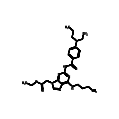 CCCCNc1nc(NC(=O)c2ccc(C(CC)CCC)cc2)nc2c1ncn2CC(=O)OCC